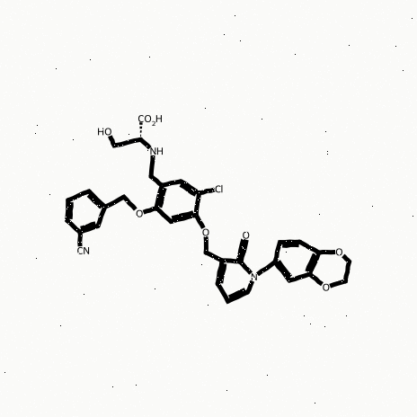 N#Cc1cccc(COc2cc(OCc3cccn(-c4ccc5c(c4)OCCO5)c3=O)c(Cl)cc2CN[C@H](CO)C(=O)O)c1